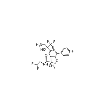 C[C@]1(C(=O)NCC(F)F)COc2c1cc([C@@](O)(CN)C(F)(F)F)nc2-c1ccc(F)cc1